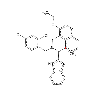 CCOc1ccc2ccccc2c1CN(Cc1ccc(Cl)cc1Cl)C(CC)c1nc2ccccc2[nH]1